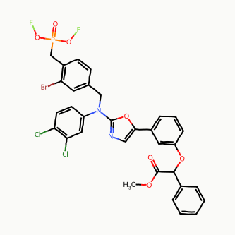 COC(=O)C(Oc1cccc(-c2cnc(N(Cc3ccc(CP(=O)(OF)OF)c(Br)c3)c3ccc(Cl)c(Cl)c3)o2)c1)c1ccccc1